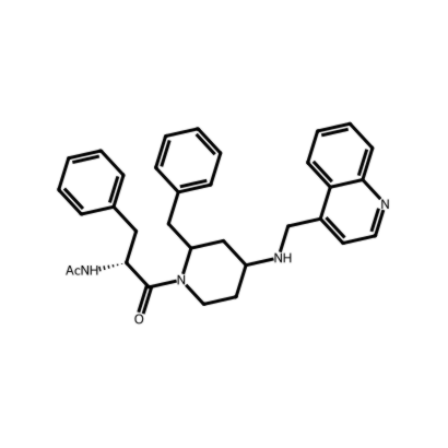 CC(=O)N[C@H](Cc1ccccc1)C(=O)N1CCC(NCc2ccnc3ccccc23)CC1Cc1ccccc1